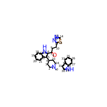 CN1CCC(c2c(C(=O)CCc3nncs3)[nH]c3ccccc23)CC1.c1ccc2[nH]ccc2c1